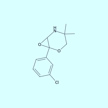 CC1(C)COC2(c3cccc(Cl)c3)OC2N1